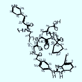 CC1=CCCC2NC(Nc3ccc(CC(=O)N[C@H](CCCCNC(=O)/C=C/C4C=NC=CC4)C(=O)N[C@H](CCCC(=O)O)C(=O)NC4(C(N)=O)CCCCC4)cc3)=NC12